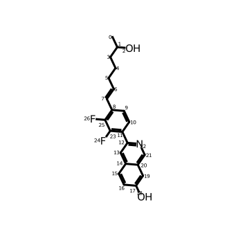 CC(O)CCC/C=C/c1ccc(-c2cc3ccc(O)cc3cn2)c(F)c1F